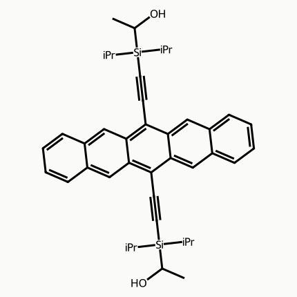 CC(C)[Si](C#Cc1c2cc3ccccc3cc2c(C#C[Si](C(C)C)(C(C)C)C(C)O)c2cc3ccccc3cc12)(C(C)C)C(C)O